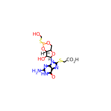 Nc1nc2c(nc(SCC(=O)O)n2[C@@H]2OC3COP(SCO)O[C@H]3C2O)c(=O)[nH]1